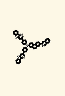 c1ccc2cc(-c3ccc4c(ccc5cc(N(c6ccc(-c7cnc8c(c7)sc7ccccc78)cc6)c6ccc(-c7cnc8c(c7)sc7ccccc78)cc6)ccc54)c3)ncc2c1